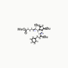 COC(=O)CCC/C=C/C[C@@H]1[C@@H](/C=C/[C@H](CCc2ccccc2)C(C)(C)C)[C@H](C(C)(C)C)C[C@@H]1C(C)(C)C